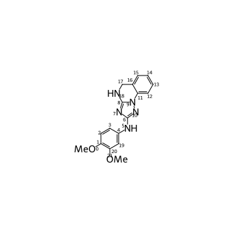 COc1ccc(Nc2nc3n(n2)-c2ccccc2CN3)cc1OC